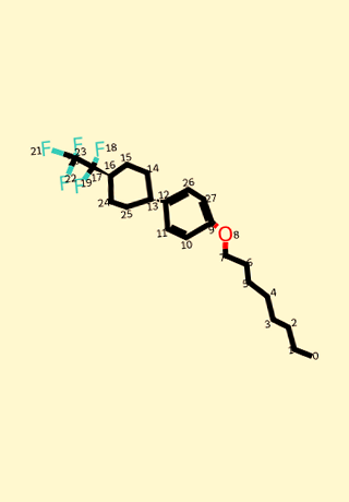 CCCCCCCCOc1ccc([C@H]2CC[C@H](C(F)(F)C(F)(F)F)CC2)cc1